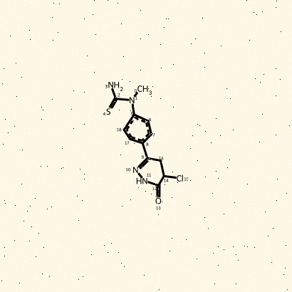 CN(C(N)=S)c1ccc(C2=NNC(=O)C(Cl)C2)cc1